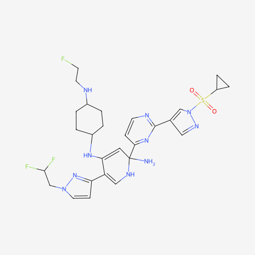 NC1(c2ccnc(-c3cnn(S(=O)(=O)C4CC4)c3)n2)C=C(NC2CCC(NCCF)CC2)C(c2ccn(CC(F)F)n2)=CN1